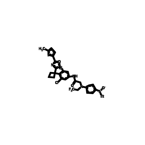 CC[S+]([O-])c1ccc(N(CC(=O)Nc2cc(Cl)c(C3(c4noc(-c5ccc(C)s5)n4)CCC3)c(Cl)c2)CC(F)(F)F)cc1